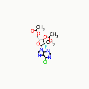 CC(=O)OC[C@H]1O[C@@H](n2cnc3c(Cl)ncnc32)[C@](C)(F)C1OC(C)=O